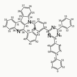 c1ccc(-c2ccc(-c3nc(-c4ccccc4)nc(-c4ccc(-n5c6ccccc6c6c7ccccc7nc(-c7ccccc7)c65)cc4)n3)cc2)cc1